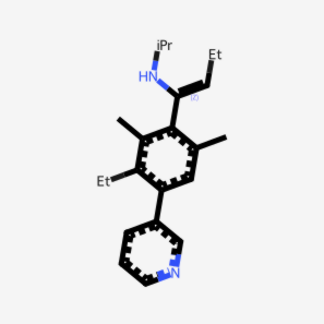 CC/C=C(\NC(C)C)c1c(C)cc(-c2cccnc2)c(CC)c1C